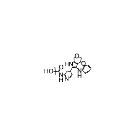 CC(C)(O)C(=O)Nc1cc(-c2[nH]c3c(c2Nc2ccccc2)C(=O)COC3)ccn1